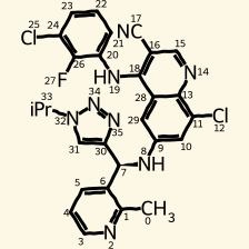 Cc1ncccc1[C@H](Nc1cc(Cl)c2ncc(C#N)c(Nc3cccc(Cl)c3F)c2c1)c1cn(C(C)C)nn1